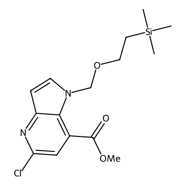 COC(=O)c1cc(Cl)nc2ccn(COCC[Si](C)(C)C)c12